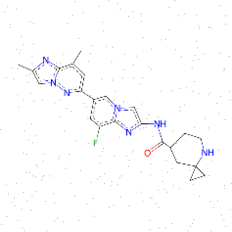 Cc1cn2nc(-c3cc(F)c4nc(NC(=O)C5CCNC6(CC6)C5)cn4c3)cc(C)c2n1